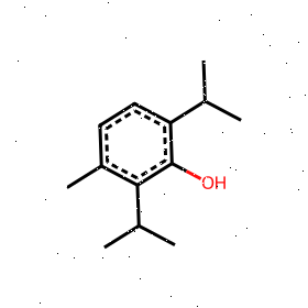 Cc1ccc(C(C)C)c(O)c1C(C)C